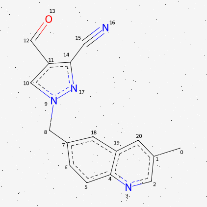 Cc1cnc2ccc(Cn3cc(C=O)c(C#N)n3)cc2c1